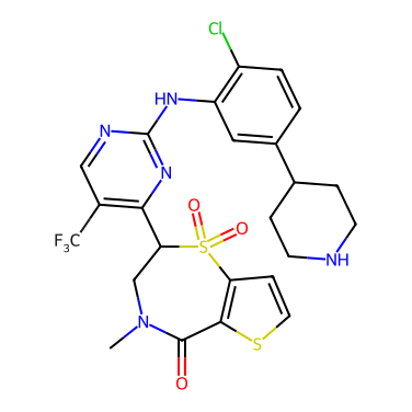 CN1CC(c2nc(Nc3cc(C4CCNCC4)ccc3Cl)ncc2C(F)(F)F)S(=O)(=O)c2ccsc2C1=O